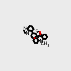 CN1c2ccccc2C2(c3ccccc3Sc3c(-c4cccc5nccnc45)cccc32)c2ccccc21